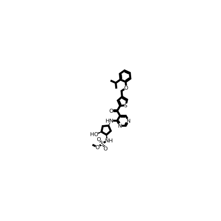 COS(=O)(=O)N[C@@H]1C[C@@H](Nc2ncncc2C(=O)c2cc(COc3ccccc3C(C)C)cs2)C[C@@H]1O